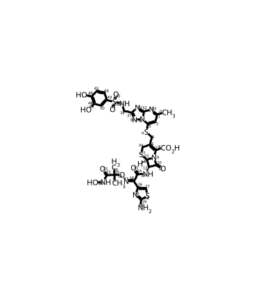 Cc1cc(SCC2=C(C(=O)O)N3C(=O)[C@@H](NC(=O)/C(=N\OC(C)(C)C(=O)NO)c4csc(N)n4)[C@H]3SC2)n2nc(CNS(=O)(=O)c3ccc(O)c(O)c3)nc2n1